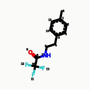 Cc1ccc(CCNC(=O)C(F)(F)F)cc1